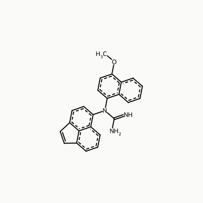 COc1ccc(N(C(=N)N)c2ccc3c4c(cccc24)C=C3)c2ccccc12